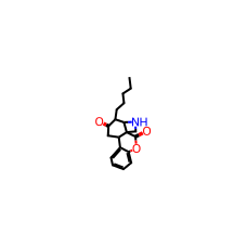 CCCCCC1C(=O)CC2c3ccccc3OC(=O)C23CNC13